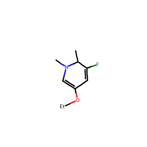 CCOC1=CN(C)C(C)C(F)=C1